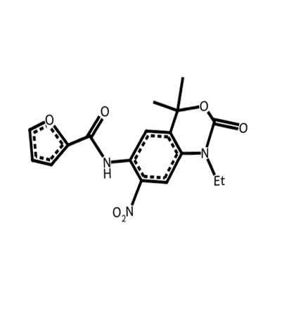 CCN1C(=O)OC(C)(C)c2cc(NC(=O)c3ccco3)c([N+](=O)[O-])cc21